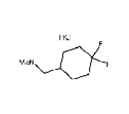 CNCC1CCC(F)(F)CC1.Cl